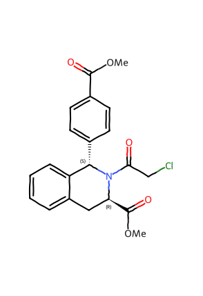 COC(=O)c1ccc([C@H]2c3ccccc3C[C@H](C(=O)OC)N2C(=O)CCl)cc1